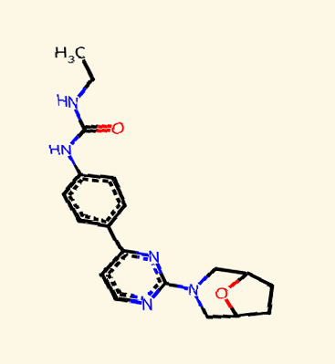 CCNC(=O)Nc1ccc(-c2ccnc(N3CC4CCC(C3)O4)n2)cc1